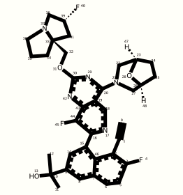 C#Cc1c(F)ccc2cc(C(C)(C)O)cc(-c3ncc4c(N5C[C@H]6CC[C@@H](C5)O6)nc(OC[C@@]56CCCN5C[C@H](F)C6)nc4c3F)c12